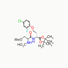 COCC(NC(=O)O)C(=O)N[C@H](CCOc1ccc(Cl)cc1F)B1OC(C)(C)C(C)(C)O1